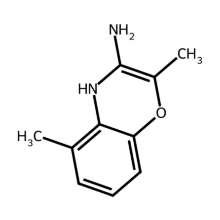 CC1=C(N)Nc2c(C)cccc2O1